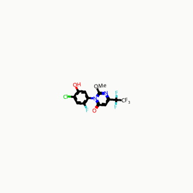 COc1nc(C(F)(F)C(F)(F)F)cc(=O)n1-c1cc(O)c(Cl)cc1F